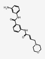 Nc1cccc(NC(=O)c2cccc(NC(=O)/C=C/CN3CCOCC3)c2)c1